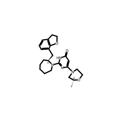 C[C@@H]1CN(c2cc(=O)[nH]c(N3CCCCC[C@H]3Cc3cccc4c3OCC4)n2)CCO1